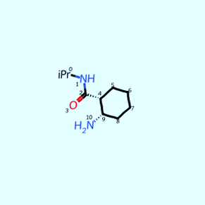 CC(C)NC(=O)[C@@H]1CCCC[C@@H]1N